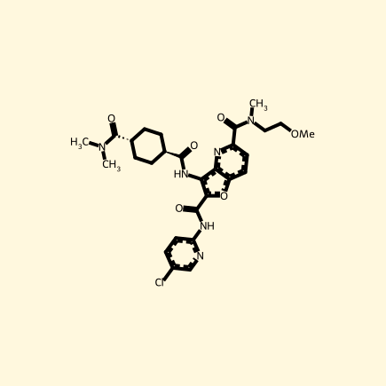 COCCN(C)C(=O)c1ccc2oc(C(=O)Nc3ccc(Cl)cn3)c(NC(=O)[C@H]3CC[C@H](C(=O)N(C)C)CC3)c2n1